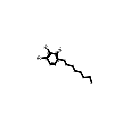 CCCCCCCCc1ccc(O)c(O)c1O